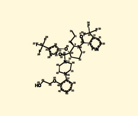 CCC[C@H]1N(C(=O)c2cnccc2C(F)(F)F)CCC[C@@]1(Oc1csc(C(F)(F)F)c1)C(=O)N1CCN(c2ccccc2OCCO)CC1